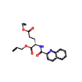 C=CCOC(=O)[C@H](CCC(=O)OC(C)(C)C)NC(=O)c1ccc2ccccc2n1